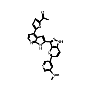 CC(=O)c1ccc(-c2ccnc3[nH]c(-c4n[nH]c5ccc(-c6cncc(N(C)C)c6)nc45)cc23)s1